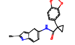 CC(C)(C)C1=NC2=CC=C(NC(=O)C3(c4ccc5c(c4)OCO5)CC3)CC2=C1